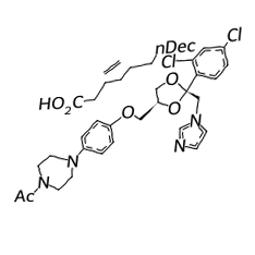 C=C.CC(=O)N1CCN(c2ccc(OC[C@H]3CO[C@](Cn4ccnc4)(c4ccc(Cl)cc4Cl)O3)cc2)CC1.CCCCCCCCCCCCCCCC(=O)O